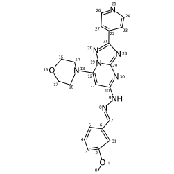 COc1cccc(/C=N/Nc2cc(N3CCOCC3)n3nc(-c4ccncc4)nc3n2)c1